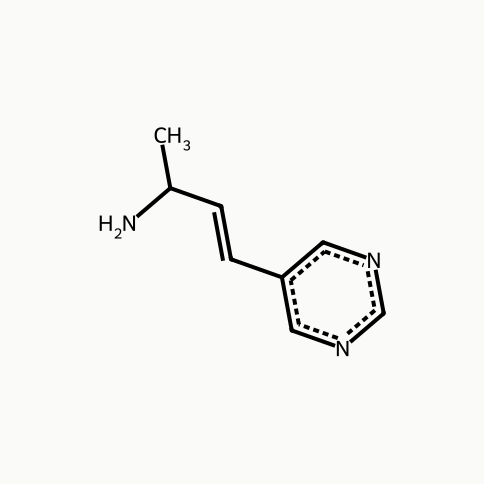 CC(N)C=Cc1cncnc1